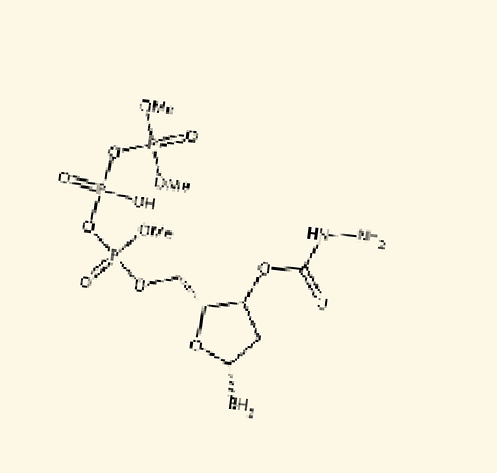 B[C@H]1CC(OC(=O)NN)[C@@H](COP(=O)(OC)OP(=O)(O)OP(=O)(OC)OC)O1